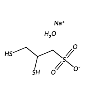 O.O=S(=O)([O-])CC(S)CS.[Na+]